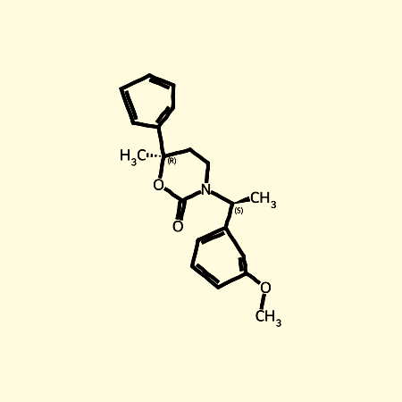 COc1cccc([C@H](C)N2CC[C@](C)(c3ccccc3)OC2=O)c1